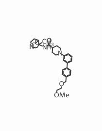 COCCOCc1ccc(-c2cccc(N3CCC(C(=O)NC4(C)CCN5CCC4CC5)CC3)c2)cc1